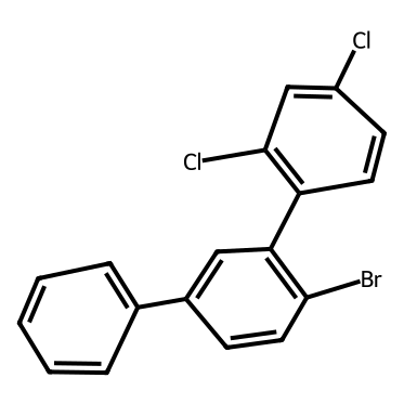 Clc1ccc(-c2cc(-c3ccccc3)ccc2Br)c(Cl)c1